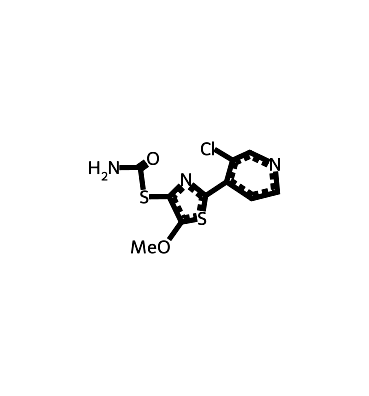 COc1sc(-c2ccncc2Cl)nc1SC(N)=O